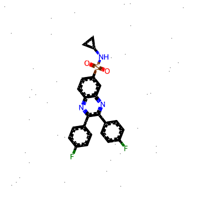 O=S(=O)(NC1CC1)c1ccc2nc(-c3ccc(F)cc3)c(-c3ccc(F)cc3)nc2c1